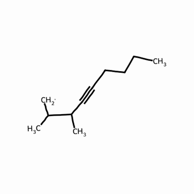 [CH2]C(C)C(C)C#CCCCC